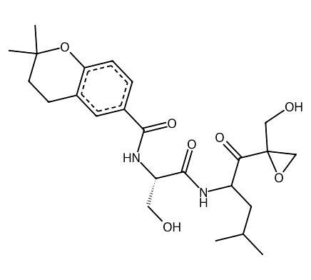 CC(C)CC(NC(=O)[C@H](CO)NC(=O)c1ccc2c(c1)CCC(C)(C)O2)C(=O)C1(CO)CO1